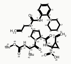 C=CCN(C(=O)Nc1ccccc1N1CCCCC1)[C@@H]1C[C@@H](C(=O)NC2([PH](=O)O)CC2C=C)N(C(=O)[C@@H](NC(=O)OC(C)(C)C)C(C)(C)C)C1